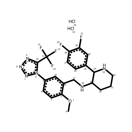 COc1ccc(-n2nnnc2C(F)(F)F)cc1CNC1CCCNC1c1ccc(F)c(F)c1.Cl.Cl